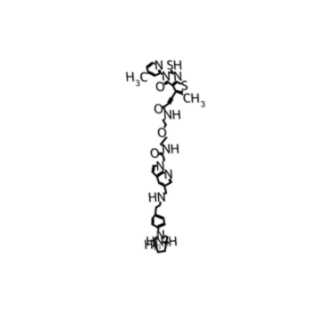 Cc1ccnc(-n2c(S)nc3sc(C)c(C#CC(=O)NCCOCCNC(=O)Cn4ccc5cc(CNCCc6ccc(N7C[C@H]8CC[C@@H](C7)N8)cc6)cnc54)c3c2=O)c1